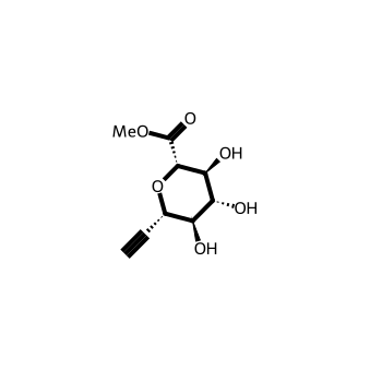 C#C[C@@H]1O[C@H](C(=O)OC)[C@@H](O)[C@H](O)[C@H]1O